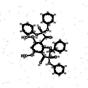 COc1cc(OC)c(C(=O)P(=O)(Oc2ccccc2)Oc2ccccc2)c(OC)c1C(=O)P(=O)(Oc1ccccc1)Oc1ccccc1